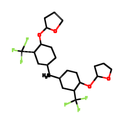 FC(F)(F)C1CC([SiH2]C2CCC(OC3CCCO3)C(C(F)(F)F)C2)CCC1OC1CCCO1